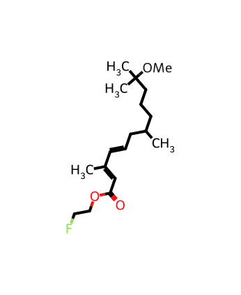 COC(C)(C)CCCC(C)CC=CC(C)=CC(=O)OCCF